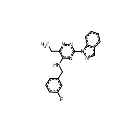 CCc1nnc(-n2ncc3ccccc32)nc1NCc1cccc(F)c1